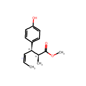 C/C=C\[C@@H](c1ccc(O)cc1)[C@H](C)C(=O)OC